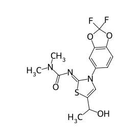 CC(O)c1cn(-c2ccc3c(c2)OC(F)(F)O3)c(=NC(=O)N(C)C)s1